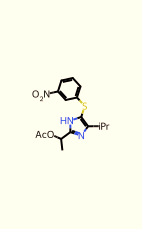 CC(=O)OC(C)c1nc(C(C)C)c(Sc2cccc([N+](=O)[O-])c2)[nH]1